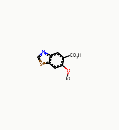 CCOc1cc2scnc2cc1C(=O)O